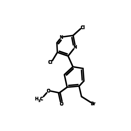 COC(=O)c1cc(-c2nc(Cl)ncc2Cl)ccc1CBr